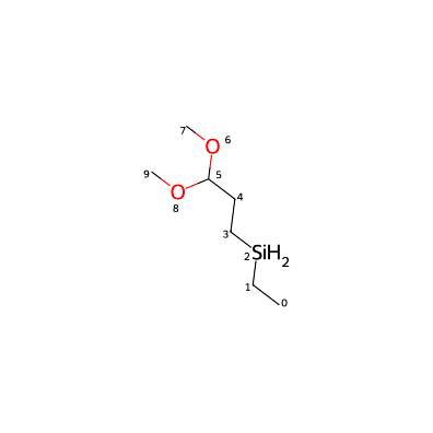 CC[SiH2]CCC(OC)OC